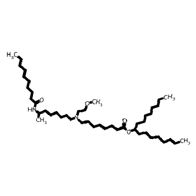 CCCCCCCCCC(=O)NC(C)CCCCCCN(CCCCCCCC(=O)OC(CCCCCCCC)CCCCCCCC)CCOC